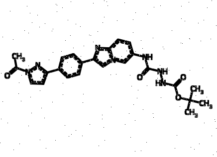 CC(=O)n1ccc(-c2ccc(-c3cn4cc(NC(=O)NNC(=O)OC(C)(C)C)ccc4n3)cc2)n1